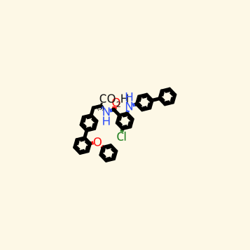 O=C(N[C@@H](Cc1ccc(-c2ccccc2Oc2ccccc2)cc1)C(=O)O)c1cc(Cl)ccc1Nc1ccc(-c2ccccc2)cc1